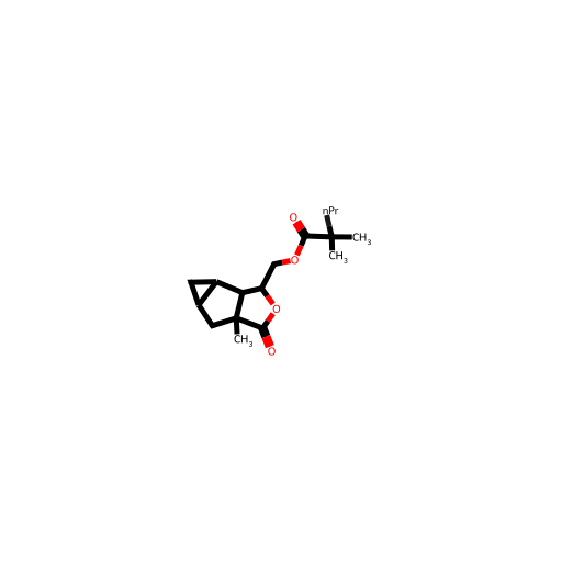 CCCC(C)(C)C(=O)OCC1OC(=O)C2(C)CC3CC3C12